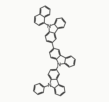 c1ccc(-n2c3ccccc3c3cc(-n4c5ccccc5c5cc(-c6ccc7c(c6)c6ccccc6n7-c6cccc7ccccc67)ccc54)ccc32)cc1